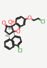 O=C1C[C@@H](c2ccccc2)[C@]2(c3ccc(Cl)cc3)Oc3cc(OCCCl)ccc3[C@]12O